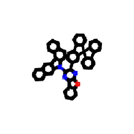 c1ccc2c(c1)-c1ccccc1C21c2ccccc2-c2ccc(-c3nc4oc5ccccc5c4nc3-n3c4cc5ccccc5cc4c4c5ccccc5ccc43)cc21